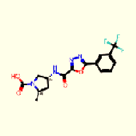 C[C@@H]1C[C@@H](NC(=O)c2nnc(-c3cccc(C(F)(F)F)c3)o2)CN1C(=O)O